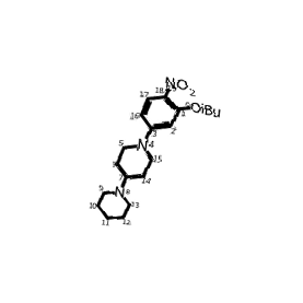 CC(C)COc1cc(N2CCC(N3CCCCC3)CC2)ccc1[N+](=O)[O-]